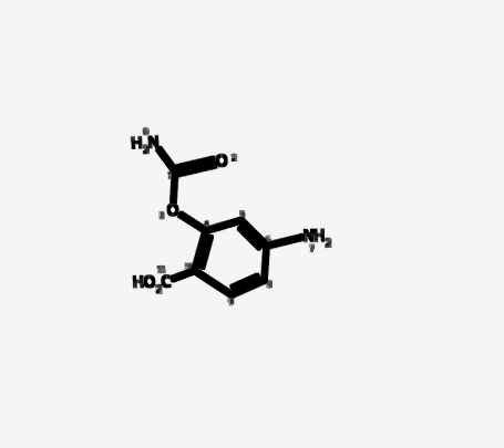 NC(=O)Oc1cc(N)ccc1C(=O)O